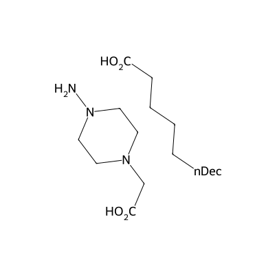 CCCCCCCCCCCCCCC(=O)O.NN1CCN(CC(=O)O)CC1